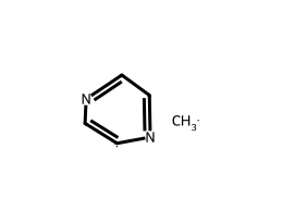 [CH3].[c]1cnccn1